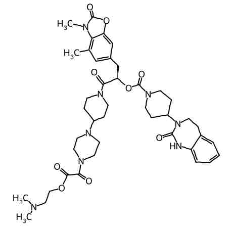 Cc1cc(C[C@@H](OC(=O)N2CCC(N3CCc4ccccc4NC3=O)CC2)C(=O)N2CCC(N3CCN(C(=O)C(=O)OCCN(C)C)CC3)CC2)cc2oc(=O)n(C)c12